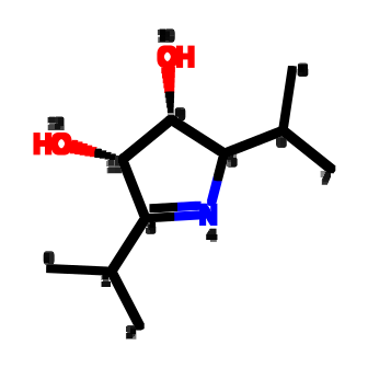 CC(C)C1=NC(C(C)C)[C@@H](O)[C@H]1O